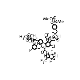 COP(=O)(OC)Oc1ccc(CC(=O)NS(=O)(=O)Cc2nn(CC(F)(F)F)c3c(-c4ccc(C#CC(C)(C)S(C)(=O)=O)nc4[C@H](Cc4cc(F)cc(F)c4)NC(=O)Cn4nc(C(F)(F)F)c5c4C(F)(F)[C@@H]4C[C@H]54)ccc(Cl)c23)cc1